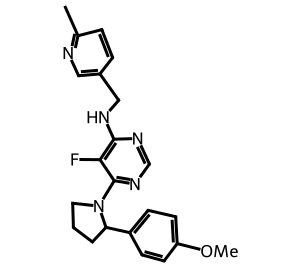 COc1ccc(C2CCCN2c2ncnc(NCc3ccc(C)nc3)c2F)cc1